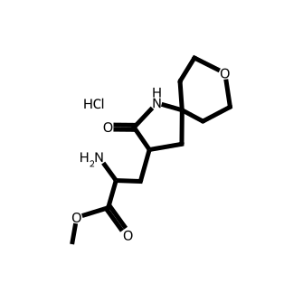 COC(=O)C(N)CC1CC2(CCOCC2)NC1=O.Cl